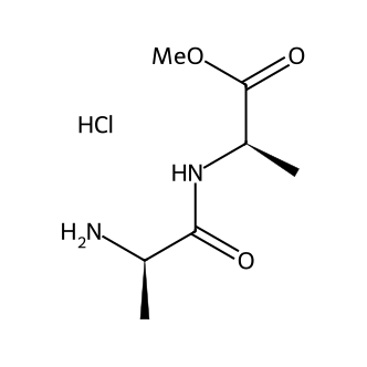 COC(=O)[C@@H](C)NC(=O)[C@@H](C)N.Cl